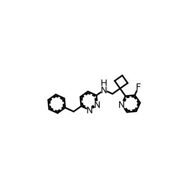 Fc1cccnc1C1(CNc2ccc(Cc3ccccc3)nn2)CCC1